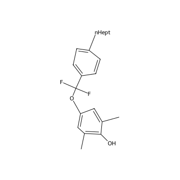 CCCCCCCc1ccc(C(F)(F)Oc2cc(C)c(O)c(C)c2)cc1